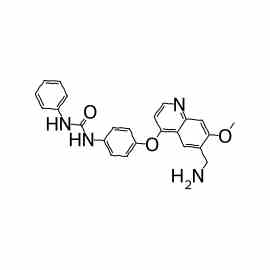 COc1cc2nccc(Oc3ccc(NC(=O)Nc4ccccc4)cc3)c2cc1CN